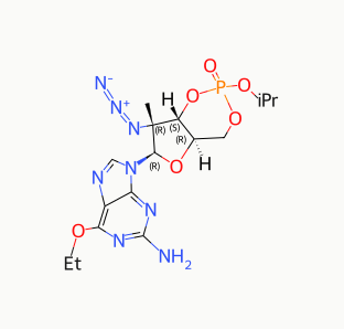 CCOc1nc(N)nc2c1ncn2[C@@H]1O[C@@H]2COP(=O)(OC(C)C)O[C@H]2[C@@]1(C)N=[N+]=[N-]